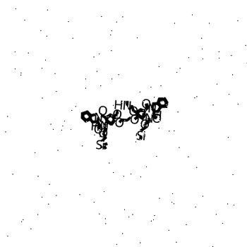 CNCOc1cc2c(cc1OCCCOc1cc3c(cc1OC)C(=O)N1Cc4ccccc4C[C@H]1C(=O)N3COCC[Si](C)(C)C)N(COCC[Si](C)(C)C)C(=O)[C@@H]1Cc3ccccc3CN1C2=O